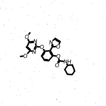 COc1cc(OC)nc(Oc2cccc(OC(=O)NC3CCCCC3)c2-c2ncco2)n1